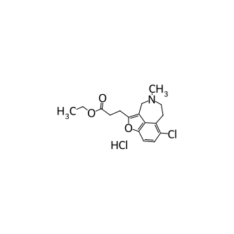 CCOC(=O)CCc1oc2ccc(Cl)c3c2c1CN(C)CC3.Cl